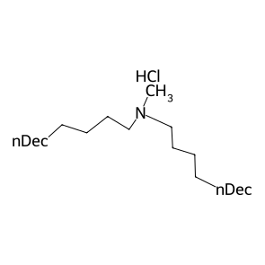 CCCCCCCCCCCCCCN(C)CCCCCCCCCCCCCC.Cl